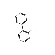 CCOC(=O)c1ccncc1-c1ccccc1